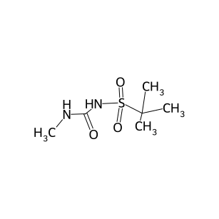 CNC(=O)NS(=O)(=O)C(C)(C)C